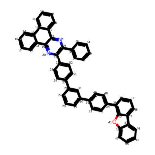 c1ccc(-c2nc3c4ccccc4c4ccccc4c3nc2-c2ccc(-c3cccc(-c4ccc(-c5cccc6c5oc5ccccc56)cc4)c3)cc2)cc1